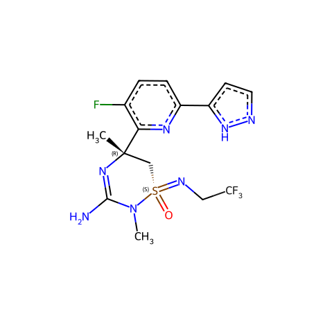 CN1C(N)=N[C@](C)(c2nc(-c3ccn[nH]3)ccc2F)C[S@@]1(=O)=NCC(F)(F)F